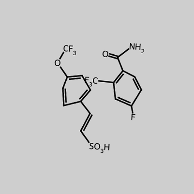 NC(=O)c1ccc(F)cc1C(F)(F)F.O=S(=O)(O)/C=C/c1ccc(OC(F)(F)F)cc1